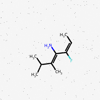 C/C=C(F)\C(N)=C(/C)C(C)C